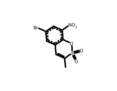 CC1=Cc2cc(Br)cc([N+](=O)[O-])c2OS1(=O)=O